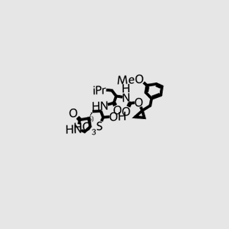 COc1cccc(CC2(OC(=O)NC(CC(C)C)C(=O)NC(C[C@@H]3CCNC3=O)C(O)S(=O)(=O)O)CC2)c1